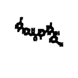 Cc1cc(Nc2cncc(C#N)c2)nc(-c2cnc(C(=O)NCc3ccc(-c4cc(F)cnc4C)nc3)c(C)c2)n1